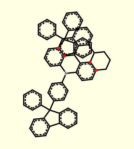 c1ccc(C2(c3ccc(N(c4ccccc4-c4cccc5cccc(C6CCCCC6)c45)c4cccc5c4-c4ccccc4C5(c4ccccc4)c4ccccc4)cc3)c3ccccc3-c3ccccc32)cc1